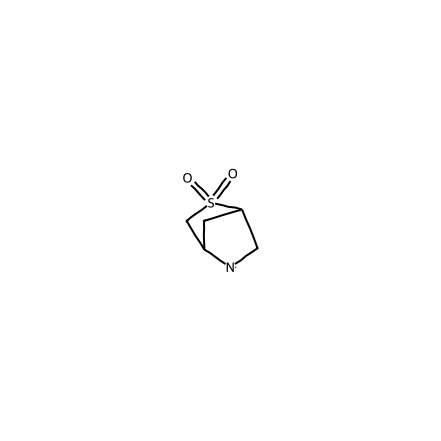 O=S1(=O)CC2CC1C[N]2